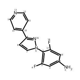 Nc1cc(F)c(-n2ccc(-c3ccncc3)n2)c(F)c1